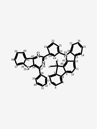 CC1(C)c2ccccc2-c2ccc3c4ccccc4n(-c4cccc(-c5nc(-c6ccccc6)c6sc7ccccc7c6n5)c4)c3c21